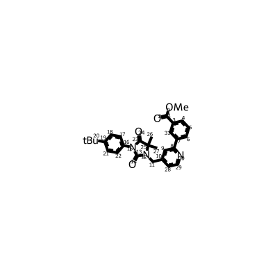 COC(=O)c1cccc(-c2cc(CN3C(=O)N(c4ccc(C(C)(C)C)cc4)C(=O)C3(C)C)ccn2)c1